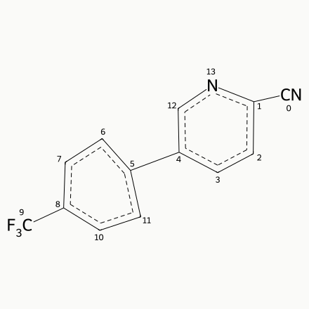 N#Cc1ccc(-c2ccc(C(F)(F)F)cc2)cn1